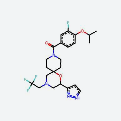 CC(C)Oc1ccc(C(=O)N2CCC3(CC2)CN(CC(F)(F)F)CC(c2cc[nH]n2)O3)cc1F